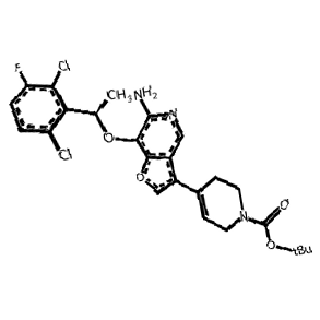 C[C@@H](Oc1c(N)ncc2c(C3=CCN(C(=O)OC(C)(C)C)CC3)coc12)c1c(Cl)ccc(F)c1Cl